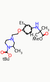 CCc1cc(NC(C)(C)C(=O)OC)ccc1OCCN1CCN(C(=O)OC(C)(C)C)C(C)C1